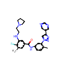 Cc1ccc(NC(=O)c2cc(NCCN3CCCC3)c(F)c(C(F)(F)F)c2)cc1-n1cc(-c2cncnc2)nn1